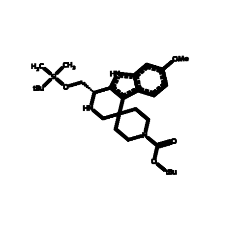 COc1ccc2c3c([nH]c2c1)[C@@H](CO[Si](C)(C)C(C)(C)C)NCC31CCN(C(=O)OC(C)(C)C)CC1